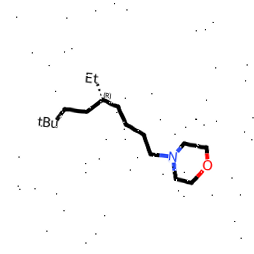 CC[C@H](CCCCN1CCOCC1)CCC(C)(C)C